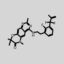 C=C(C)C(F)(F)c1cccc(CCNc2nc(C)nc3cc4c(cc23)N(C)C(=O)C(C)(C)O4)c1F